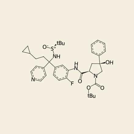 CC(C)(C)OC(=O)N1C[C@@](O)(c2ccccc2)C[C@@H]1C(=O)Nc1cc(C(CCC2CC2)(N[S@@+]([O-])C(C)(C)C)c2ccncc2)ccc1F